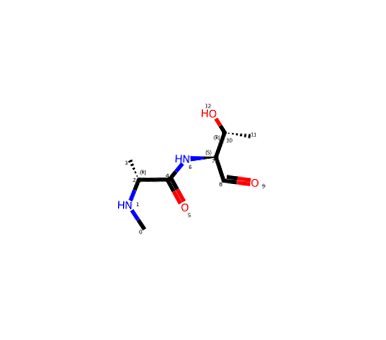 CN[C@H](C)C(=O)N[C@H](C=O)[C@@H](C)O